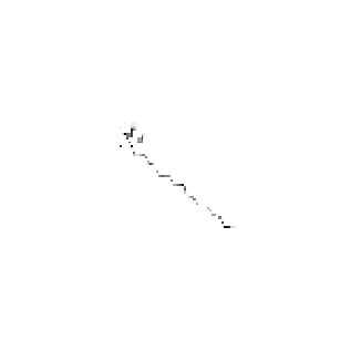 CCC(=O)CCCCCCCCCCCCCCC(F)(F)C(F)(F)C(F)(F)F